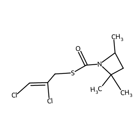 CC1CC(C)(C)N1C(=O)SCC(Cl)=CCl